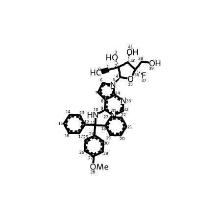 C#C[C@]1(O)[C@H](n2ccc3c(NC(c4ccccc4)(c4ccccc4)c4ccc(OC)cc4)ncnc32)O[C@](F)(CO)[C@H]1O